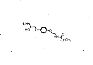 COC(=O)NCCOc1ccc(OCC(O)CN)cc1